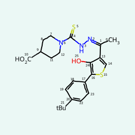 CC(=NNC(=S)N1CCC(C(=O)O)CC1)c1csc(-c2ccc(C(C)(C)C)cc2)c1O